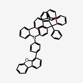 c1ccc(-c2ccc(-c3ccccc3N(c3ccc(-c4cccc5c4oc4ccccc45)cc3)c3ccc(C4(c5ccccc5)c5ccccc5-c5ccccc54)cc3)cc2)cc1